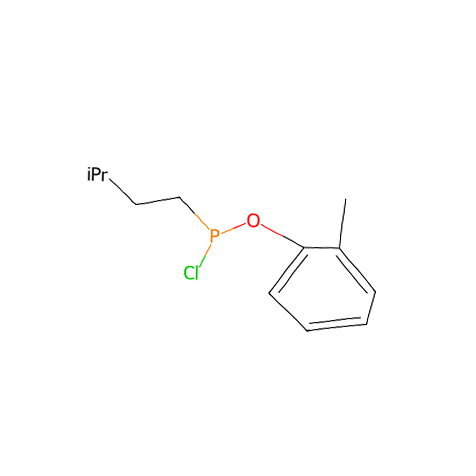 Cc1ccccc1OP(Cl)CCC(C)C